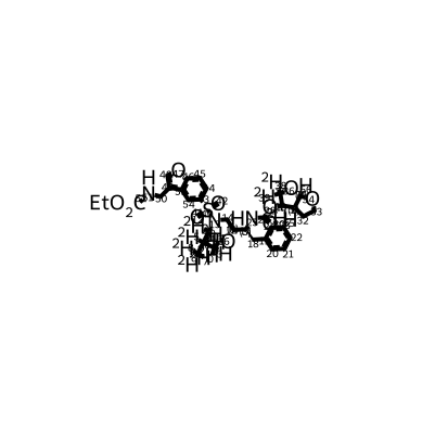 [2H]C([2H])([2H])C([2H])(C([2H])([2H])[2H])C([2H])([2H])N(C[C@@H](O)[C@H](Cc1ccccc1)NC(=O)O[C@]1([2H])[C@@H]2CCO[C@@H]2OC1([2H])[2H])S(=O)(=O)c1ccc2occ(CNC(=O)OCC)c2c1